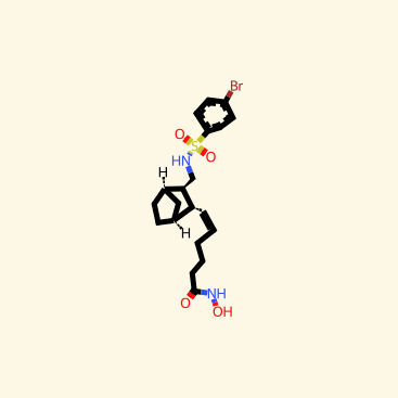 O=C(CCC/C=C\[C@@H]1[C@H]2CC[C@H](C2)[C@H]1CNS(=O)(=O)c1ccc(Br)cc1)NO